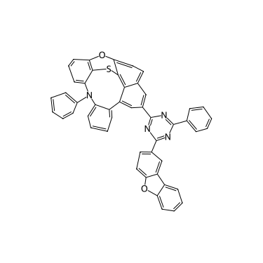 c1ccc(-c2nc(-c3cc4c5c6c(ccc5c3)Oc3cccc(c3S6)N(c3ccccc3)c3ccccc3-4)nc(-c3ccc4oc5ccccc5c4c3)n2)cc1